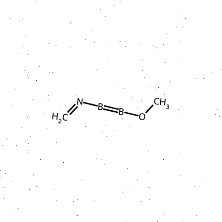 C=NB=BOC